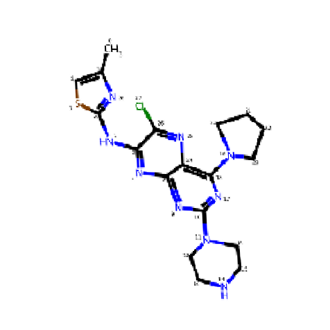 Cc1csc(Nc2nc3nc(N4CCNCC4)nc(N4CCCC4)c3nc2Cl)n1